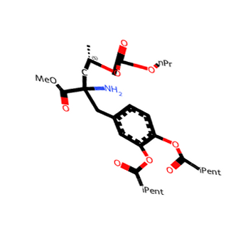 CCCOC(=O)O[C@@H](C)CC(N)(Cc1ccc(OC(=O)C(C)CCC)c(OC(=O)C(C)CCC)c1)C(=O)OC